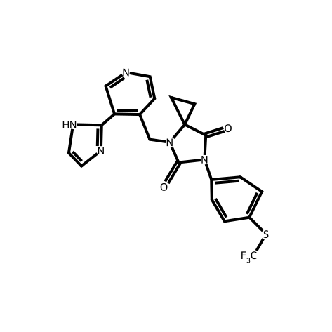 O=C1N(c2ccc(SC(F)(F)F)cc2)C(=O)C2(CC2)N1Cc1ccncc1-c1ncc[nH]1